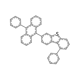 c1ccc(-c2c3ccccc3c(-c3ccc4c(c3)sc3cccc(-c5ccccc5)c34)c3ccccc23)cc1